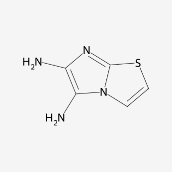 Nc1nc2sccn2c1N